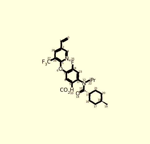 C=Cc1cnc(Oc2cc(C(=O)O)c(N(C(=O)[C@H]3CC[C@H](C)CC3)C(C)C)cc2F)c(C(F)(F)F)c1